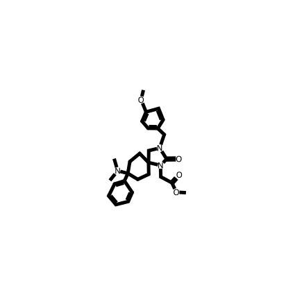 COC(=O)CN1C(=O)N(Cc2ccc(OC)cc2)CC12CCC(c1ccccc1)(N(C)C)CC2